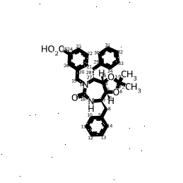 CC1(C)O[C@@H]2[C@@H](O1)[C@@H](Cc1ccccc1)NC(=O)N(Cc1cccc(C(=O)O)c1)[C@@H]2Cc1ccccc1